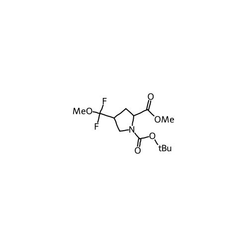 COC(=O)C1CC(C(F)(F)OC)CN1C(=O)OC(C)(C)C